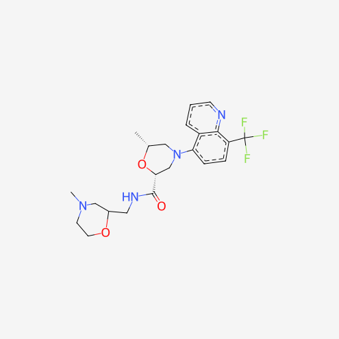 C[C@@H]1CN(c2ccc(C(F)(F)F)c3ncccc23)C[C@H](C(=O)NCC2CN(C)CCO2)O1